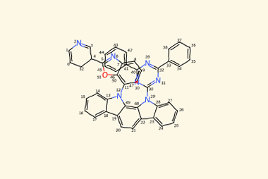 C1=CN=CC(c2nc3cccc(-n4c5ccccc5c5ccc6c7ccccc7n(-c7nc(-c8ccccc8)nc(-c8ccccc8)n7)c6c54)c3o2)C1